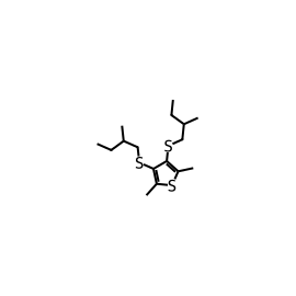 CCC(C)CSc1c(C)sc(C)c1SCC(C)CC